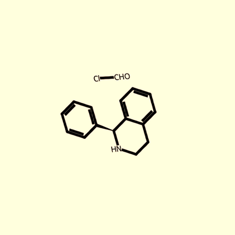 O=CCl.c1ccc([C@@H]2NCCc3ccccc32)cc1